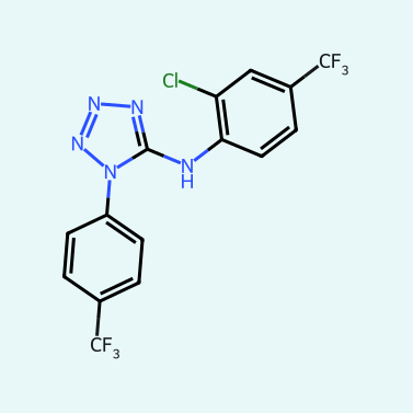 FC(F)(F)c1ccc(-n2nnnc2Nc2ccc(C(F)(F)F)cc2Cl)cc1